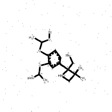 CCOC(C)Oc1ccc(C2(CC(C)(C)C)NCC2(C)C)cc1OC(C)OC